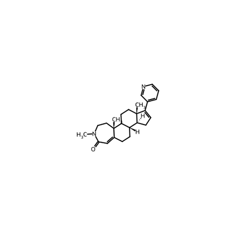 CN1CC[C@@]2(C)C(=CC1=O)CC[C@@H]1C2CC[C@]2(C)C(c3cccnc3)=CC[C@@H]12